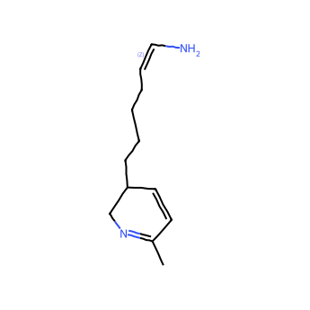 CC1=NCC(CCCC/C=C\N)C=C1